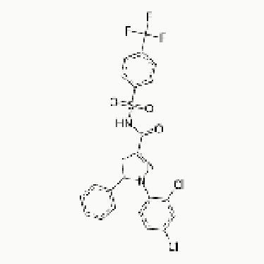 O=C(NS(=O)(=O)c1ccc(C(F)(F)F)cc1)C1=NN(c2ccc(Cl)cc2Cl)C(c2ccccc2)C1